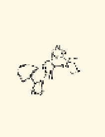 CC[C@@]12CN(C)CCN1c1nc(-n3ccnc3-c3ccccc3)ncc1-n1cnnc12